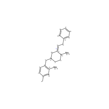 Cc1ccc(CN2CCN(N)/C(=C\Cc3ccccn3)C2)c(N)n1